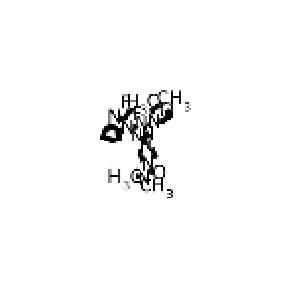 CN(C)C(=O)N1CCN(c2nc(N3CCOC(C)(C)C3)nc(-n3c(C(F)F)nc4ccccc43)n2)CC1